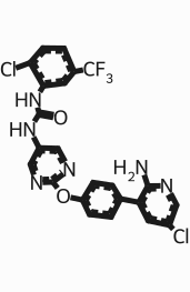 Nc1ncc(Cl)cc1-c1ccc(Oc2ncc(NC(=O)Nc3cc(C(F)(F)F)ccc3Cl)cn2)cc1